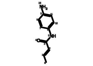 C/C=C/C(=O)Nc1ccc(N)cc1